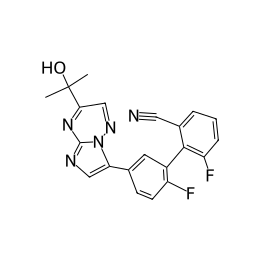 CC(C)(O)c1cnn2c(-c3ccc(F)c(-c4c(F)cccc4C#N)c3)cnc2n1